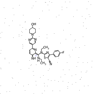 CCN/C(=C1/N=C(c2cnc(N3CCC(O)CC3)nc2)C=CC1=N)N(CC)c1nc(-c2ccc(F)cc2)c(C#N)s1